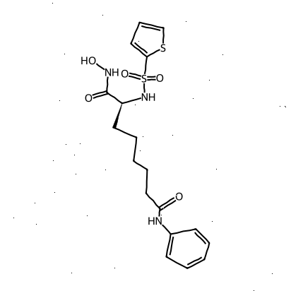 O=C(CCCCC[C@H](NS(=O)(=O)c1cccs1)C(=O)NO)Nc1ccccc1